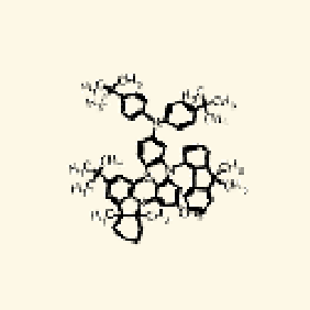 Cc1cc2c3c(c1)N1c4c(cc(C(C)(C)C)cc4C4(C)CCCCC14C)B3c1ccc(N(c3ccc(C(C)(C)C)cc3)c3ccc(C(C)(C)C)cc3)cc1N2c1cccc2c1-c1ccccc1C2(C)C